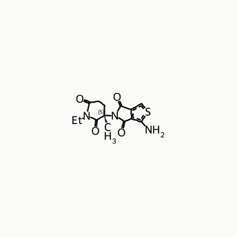 CCN1C(=O)CC[C@](C)(N2C(=O)c3csc(N)c3C2=O)C1=O